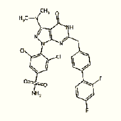 CN(C)c1nn(-c2c(Cl)cc(S(N)(=O)=O)cc2Cl)c2nc(Cc3ccc(-c4ccc(F)cc4F)cc3)[nH]c(=O)c12